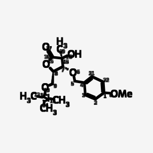 COc1ccc(CO[C@@H]2[C@@H](CO[Si](C)(C)C)OC(=O)[C@@]2(C)O)cc1